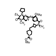 CC[C@@H]1C(=O)N(C)c2cnc(Nc3ccc(C(=O)N(C)C4CC(CC5CCN(C(=O)OC(C)(C)C)CC5)C4)cc3OC)nc2N1C1CCCC1